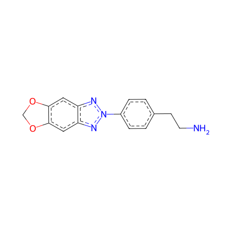 NCCc1ccc(-n2nc3cc4c(cc3n2)OCO4)cc1